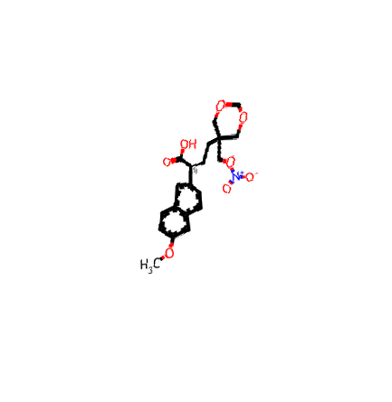 COc1ccc2cc([C@H](CCC3(CO[N+](=O)[O-])COCOC3)C(=O)O)ccc2c1